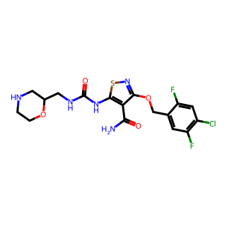 NC(=O)c1c(OCc2cc(F)c(Cl)cc2F)nsc1NC(=O)NCC1CNCCO1